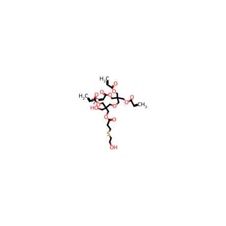 C=CC(=O)OCC(COCC(CO)(COC(=O)C=C)COC(=O)CCSCCO)(COC(=O)C=C)COC(=O)C=C